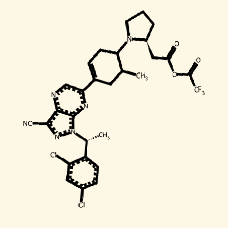 CC1CC(c2cnc3c(C#N)nn([C@H](C)c4ccc(Cl)cc4Cl)c3n2)=CCC1N1CCC[C@H]1CC(=O)OC(=O)C(F)(F)F